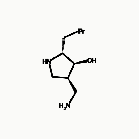 CC(C)C[C@H]1NC[C@H](CN)[C@@H]1O